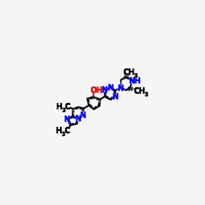 Cc1cn2nc(-c3ccc(-c4cnc(N5C[C@@H](C)N[C@@H](C)C5)nn4)c(O)c3)cc(C)c2n1